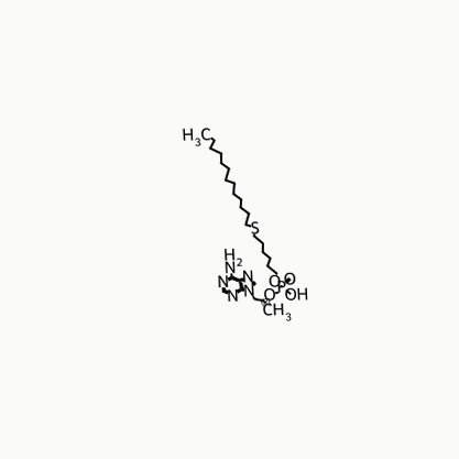 CCCCCCCCCCCCCSCCCCCCOP(=O)(O)CO[C@H](C)Cn1cnc2c(N)ncnc21